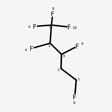 F[CH]CC(F)C(F)C(F)(F)F